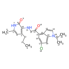 CCCc1cc(C)[nH]c(=O)c1NCC(=O)c1cc(Cl)cc2c1ccn2C(C)C